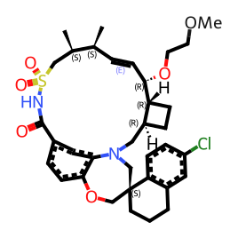 COCCO[C@H]1/C=C/[C@H](C)[C@H](C)CS(=O)(=O)NC(=O)c2ccc3c(c2)N(C[C@@H]2CC[C@H]21)C[C@@]1(CCCc2cc(Cl)ccc21)CO3